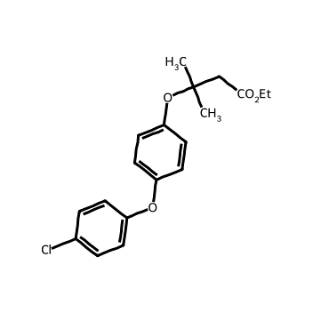 CCOC(=O)CC(C)(C)Oc1ccc(Oc2ccc(Cl)cc2)cc1